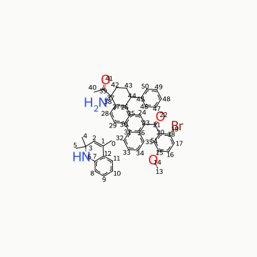 CC1=CC(C)(C)Nc2ccccc21.COc1ccc(Br)c(C(=O)c2cc3c4c(ccc3c3ccccc23)C(N)(C(C)=O)CCC4c2ccccc2)c1